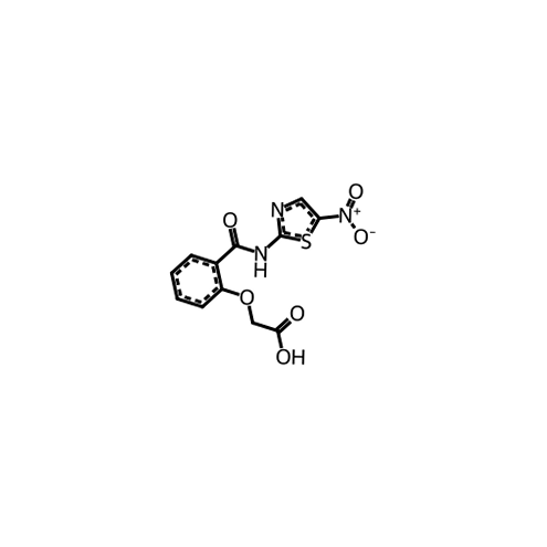 O=C(O)COc1ccccc1C(=O)Nc1ncc([N+](=O)[O-])s1